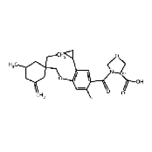 C=C1CC(C)CC(CC)(COc2cc(F)c(C(=O)N3COC[C@H]3C(=O)O)cc2C2CC2)C1